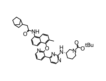 Cc1ccc2c(NC(=O)CC3CC4CCC3C4)cccc2c1Oc1ncccc1-c1ccnc(N[C@H]2CCCN(C(=O)OC(C)(C)C)C2)n1